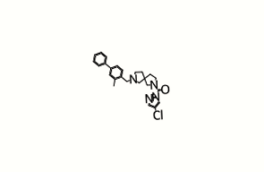 Cc1cc(-c2ccccc2)ccc1CN1CCC2(CCN(C(=O)n3cc(Cl)cn3)C2)C1